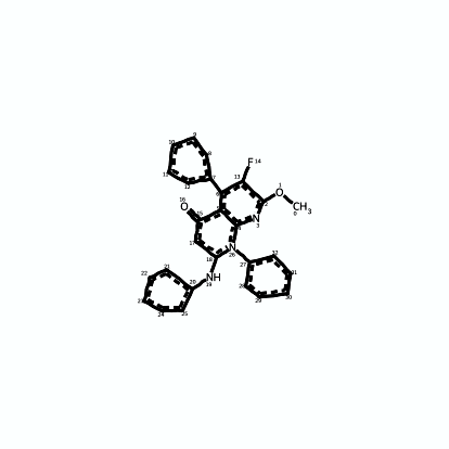 COc1nc2c(c(-c3ccccc3)c1F)c(=O)cc(Nc1ccccc1)n2-c1ccccc1